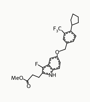 COC(=O)CCc1[nH]c2ccc(OCc3ccc(C4CCCC4)c(C(F)(F)F)c3)cc2c1F